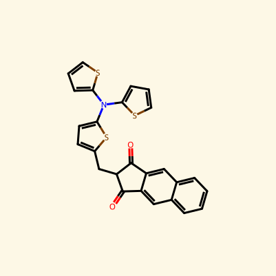 O=C1c2cc3ccccc3cc2C(=O)C1Cc1ccc(N(c2cccs2)c2cccs2)s1